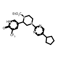 CCOC(=O)N1CCN(c2ncc(C3CCCC3)cn2)CC1c1c[nH]c(=O)c(C(F)(F)F)c1